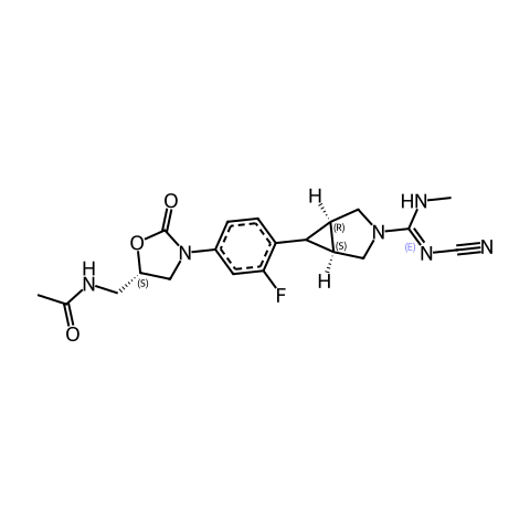 CN/C(=N\C#N)N1C[C@@H]2C(c3ccc(N4C[C@H](CNC(C)=O)OC4=O)cc3F)[C@@H]2C1